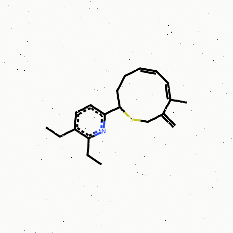 C=C1CSC(c2ccc(CC)c(CC)n2)CC/C=C\C=C/1C